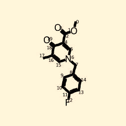 COC(=O)c1cn(Cc2ccc(F)cc2)cc(C)c1=O